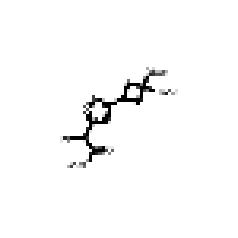 COC(=O)C(c1cc(C2CC(OC)(OC)C2)no1)C(C)C